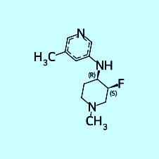 Cc1cncc(N[C@@H]2CCN(C)C[C@@H]2F)c1